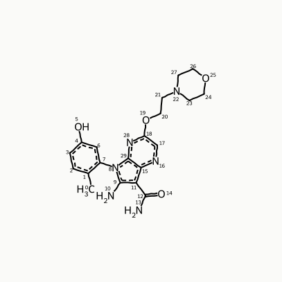 Cc1ccc(O)cc1-n1c(N)c(C(N)=O)c2ncc(OCCN3CCOCC3)nc21